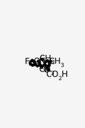 Cc1cc(OCC(=O)O)c2c(C)c(Cc3ccc(F)cc3)c(=O)n(C)c2c1